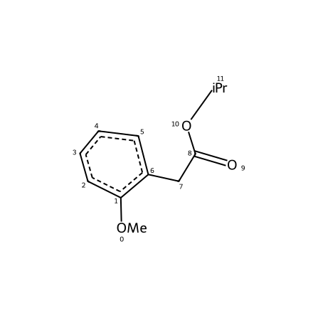 COc1ccccc1CC(=O)OC(C)C